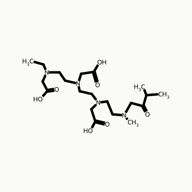 CCN(CCN(CCN(CCN(C)CC(=O)C(C)C)CC(=O)O)CC(=O)O)CC(=O)O